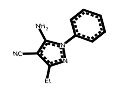 CCc1nn(-c2ccccc2)c(N)c1C#N